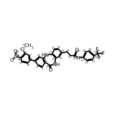 COc1cc(-c2ccc3c(c2)Nc2ccc(CCC(=O)Nc4ccc(C(F)(F)F)cc4)cc2NC3=O)ccc1[N+](=O)[O-]